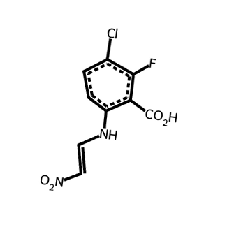 O=C(O)c1c(NC=C[N+](=O)[O-])ccc(Cl)c1F